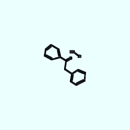 CCO.O=C(Cc1ccccc1)c1ccccc1